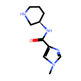 Cn1cnc(C(=O)N[C@@H]2CCCNC2)c1